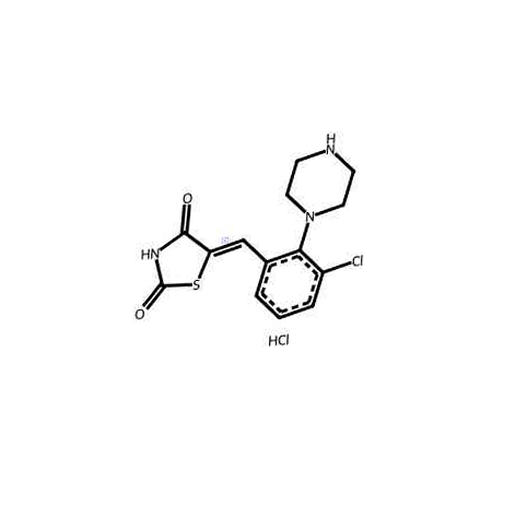 Cl.O=C1NC(=O)/C(=C/c2cccc(Cl)c2N2CCNCC2)S1